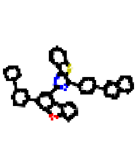 c1ccc(-c2cccc(-c3cc(-c4nc(-c5ccc(-c6ccc7ccccc7c6)cc5)c5sc6ccccc6c5n4)c4c(c3)oc3ccccc34)c2)cc1